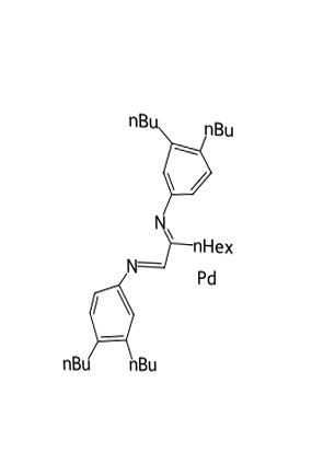 CCCCCCC(C=Nc1ccc(CCCC)c(CCCC)c1)=Nc1ccc(CCCC)c(CCCC)c1.[Pd]